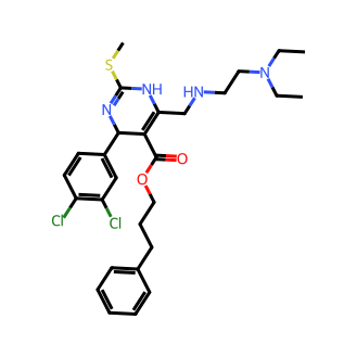 CCN(CC)CCNCC1=C(C(=O)OCCCc2ccccc2)C(c2ccc(Cl)c(Cl)c2)N=C(SC)N1